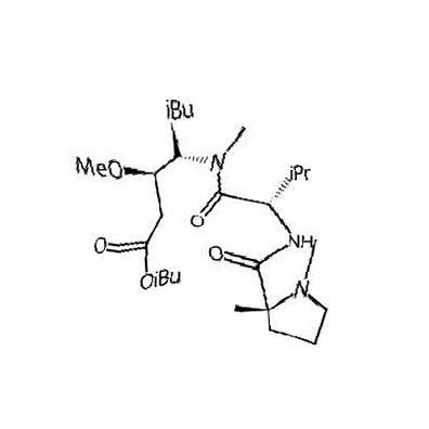 CC[C@H](C)[C@@H]([C@@H](CC(=O)OCC(C)C)OC)N(C)C(=O)[C@@H](NC(=O)[C@@]1(C)CCCN1C)C(C)C